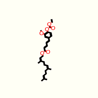 CCOC(=O)Oc1ccc(C=CC=CC(=O)OCC=C(C)CCC=C(C)CCC=C(C)C)cc1OC